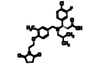 Cc1cc(CN(CC(C)C)[C@@H](CC(=O)O)c2ccc(Cl)c(F)c2)ccc1OCCN1C(=O)CCC1=O